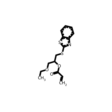 C=CC(=O)OC(COCC)CSc1nc2ccccc2s1